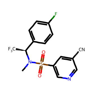 CN([C@H](c1ccc(F)cc1)C(F)(F)F)S(=O)(=O)c1cncc(C#N)c1